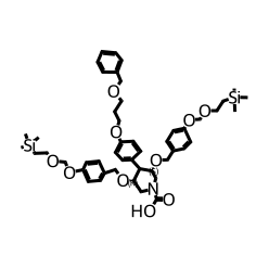 C[Si](C)(C)CCOCOc1ccc(CO[C@H]2CN(C(=O)O)C[C@@H](OCc3ccc(OCOCC[Si](C)(C)C)cc3)C2c2ccc(OCCCOCc3ccccc3)cc2)cc1